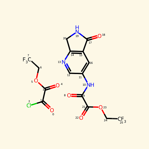 O=C(Cl)C(=O)OCC(F)(F)F.O=C(Nc1cnc2c(c1)C(=O)NC2)C(=O)OCC(F)(F)F